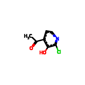 CC(=O)c1ccnc(Cl)c1O